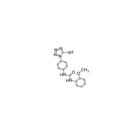 COc1ccccc1NC(=O)Nc1ccc(-n2nnnc2S)cc1